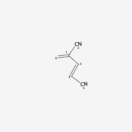 C=C(C#N)C=CC#N